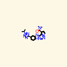 CC(C)n1nnc(-c2cccc(Nc3ncnn4ccc(C(=O)N(C)C)c34)c2)n1